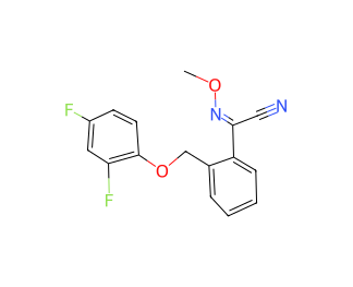 CON=C(C#N)c1ccccc1COc1ccc(F)cc1F